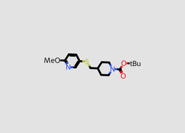 COc1ccc(SCC2CCN(C(=O)OC(C)(C)C)CC2)cn1